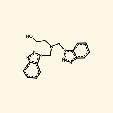 OCCN(Cn1nnc2ccccc21)Cn1nnc2ccccc21